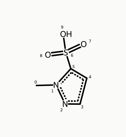 Cn1nccc1S(=O)(=O)O